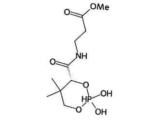 COC(=O)CCNC(=O)[C@@H]1O[PH](O)(O)OCC1(C)C